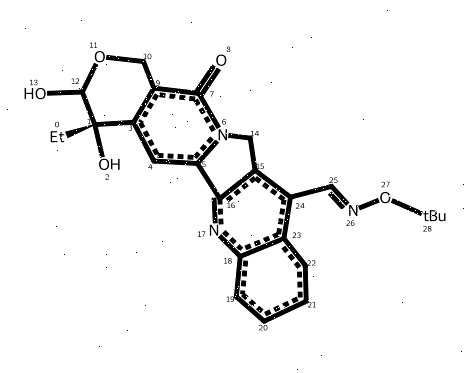 CC[C@]1(O)c2cc3n(c(=O)c2COC1O)Cc1c-3nc2ccccc2c1/C=N/OC(C)(C)C